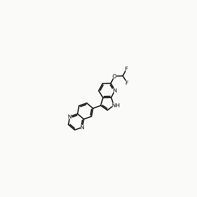 FC(F)Oc1ccc2c(-c3ccc4nccnc4c3)c[nH]c2n1